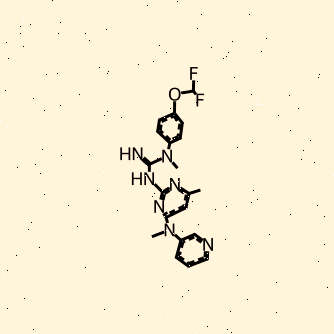 Cc1cc(N(C)c2cccnc2)nc(NC(=N)N(C)c2ccc(OC(F)F)cc2)n1